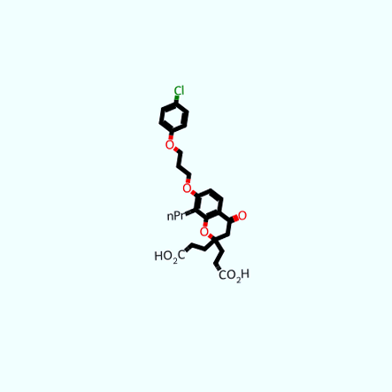 CCCc1c(OCCCOc2ccc(Cl)cc2)ccc2c1OC(CCC(=O)O)(CCC(=O)O)CC2=O